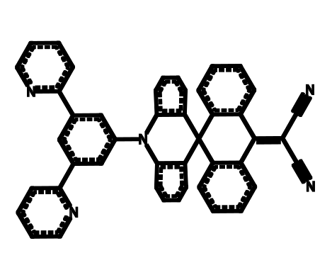 N#CC(C#N)=C1c2ccccc2C2(c3ccccc31)c1ccccc1N(c1cc(-c3ccccn3)cc(-c3ccccn3)c1)c1ccccc12